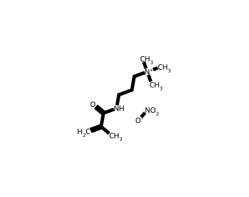 C=C(C)C(=O)NCCC[N+](C)(C)C.O=[N+]([O-])[O-]